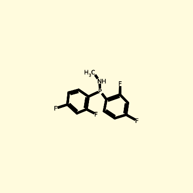 CNP(c1ccc(F)cc1F)c1ccc(F)cc1F